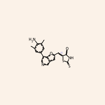 Cc1cc(-c2cncc3cc(/C=C4\SC(=S)NC4=O)oc23)cc(C)c1N